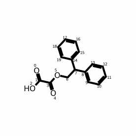 O=C(O)C(=O)OCC(c1ccccc1)c1ccccc1